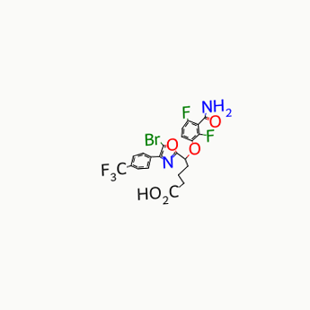 NC(=O)c1c(F)ccc(OC(CCCC(=O)O)c2nc(-c3ccc(C(F)(F)F)cc3)c(Br)o2)c1F